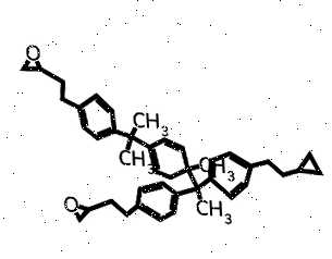 CC(C)(C1=CCC(C)(C(C)(c2ccc(CCC3CC3)cc2)c2ccc(CCC3CO3)cc2)C=C1)c1ccc(CCC2CO2)cc1